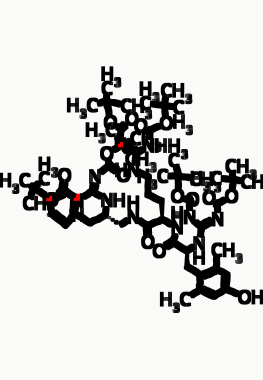 Cc1cc(O)cc(C)c1C[C@H](N/C(=N/C(=O)OC(C)(C)C)NC(=O)OC(C)(C)C)C(=O)N[C@H](CCCN/C(=N/C(=O)OC(C)(C)C)NC(=O)OC(C)(C)C)C(=O)NC[C@H](Cc1ccccc1)N/C(=N\C(=O)OC(C)(C)C)NC(=O)OC(C)(C)C